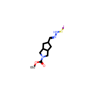 CC(C)(C)OC(=O)N1CC2CC(/C=N/NSI)CC2C1